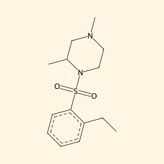 CCc1ccccc1S(=O)(=O)N1CCN(C)CC1C